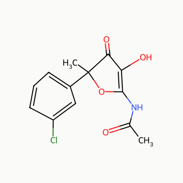 CC(=O)NC1=C(O)C(=O)C(C)(c2cccc(Cl)c2)O1